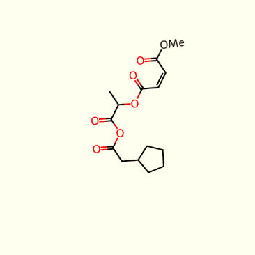 COC(=O)/C=C\C(=O)OC(C)C(=O)OC(=O)CC1CCCC1